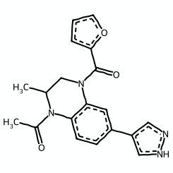 CC(=O)N1c2ccc(-c3cn[nH]c3)cc2N(C(=O)c2ccco2)CC1C